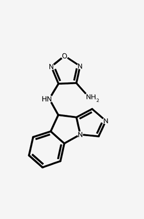 Nc1nonc1NC1c2ccccc2-n2cncc21